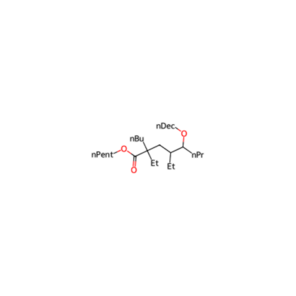 CCCCCCCCCCOC(CCC)C(CC)CC(CC)(CCCC)C(=O)OCCCCC